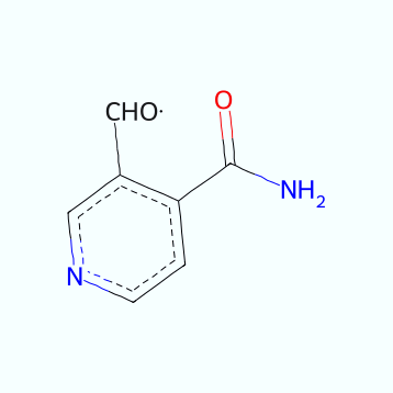 NC(=O)c1ccncc1[C]=O